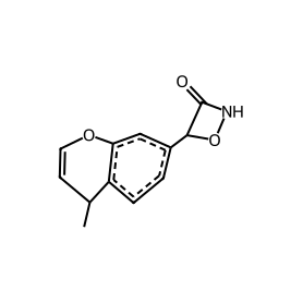 CC1C=COc2cc(C3ONC3=O)ccc21